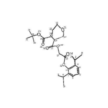 CC(C)c1cccc(C(C)C)c1OC(=O)COC(=O)C1COCCN1C(=O)OC(C)(C)C